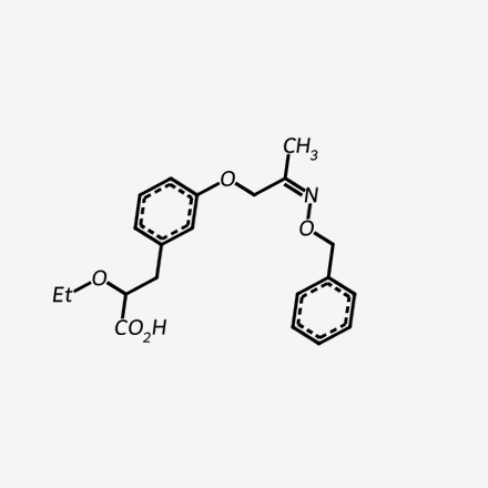 CCOC(Cc1cccc(OC/C(C)=N\OCc2ccccc2)c1)C(=O)O